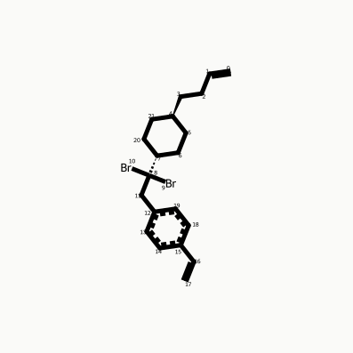 C=CCC[C@H]1CC[C@H](C(Br)(Br)Cc2ccc(C=C)cc2)CC1